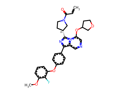 C=CC(=O)N1CC[C@@H](c2nc(-c3ccc(Oc4cccc(OC)c4F)cc3)c3cncc(OC4CCOC4)n23)C1